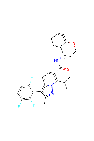 Cc1nn2c(C(C)C)c(C(=O)N[C@H]3CCOc4ccccc43)ccc2c1-c1c(F)ccc(F)c1F